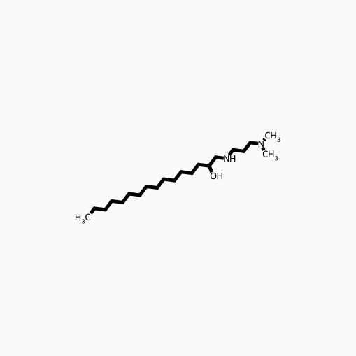 CCCCCCCCCCCCCCC(O)CNCCCN(C)C